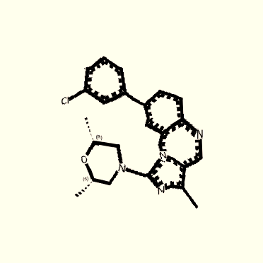 Cc1nc(N2C[C@@H](C)O[C@@H](C)C2)n2c1cnc1ccc(-c3cc[c]c(Cl)c3)cc12